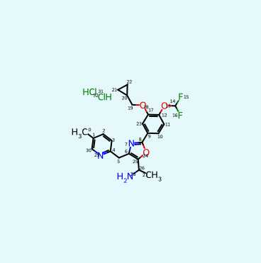 Cc1ccc(Cc2nc(-c3ccc(OC(F)F)c(OCC4CC4)c3)oc2C(C)N)nc1.Cl.Cl